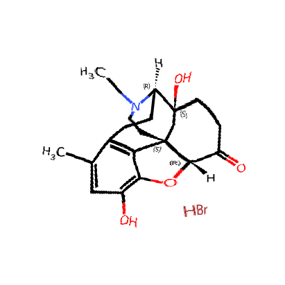 Br.Cc1cc(O)c2c3c1C[C@H]1N(C)CC[C@@]34[C@@H](O2)C(=O)CC[C@@]14O